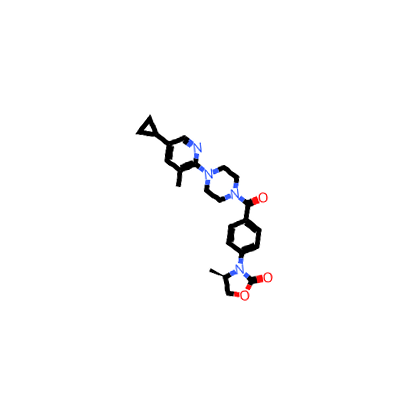 Cc1cc(C2CC2)cnc1N1CCN(C(=O)c2ccc(N3C(=O)OC[C@H]3C)cc2)CC1